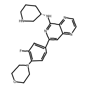 Fc1cc(-c2cc3nccnc3c(N[C@H]3CCCNC3)n2)ccc1N1CCOCC1